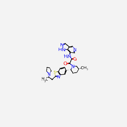 CC(Cc1nc2cc([C@H]3CC[C@H](C)CN3C(=O)C(=O)Nc3cncc4cn[nH]c34)ccc2s1)N1CCCC1